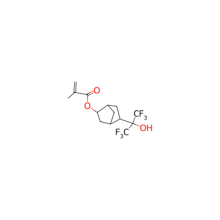 C=C(C)C(=O)OC1CC2CC1CC2C(O)(C(F)(F)F)C(F)(F)F